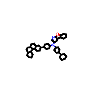 c1ccc(-c2ccc(N(c3ccc(-c4ccc5c(ccc6ccc7ccccc7c65)c4)cc3)c3cnc4oc5ccccc5c4c3)cc2)cc1